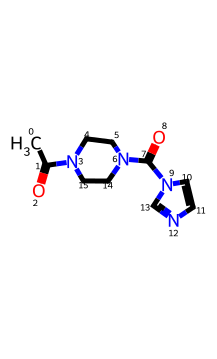 CC(=O)N1CCN(C(=O)n2ccnc2)CC1